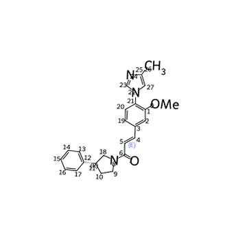 COc1cc(/C=C/C(=O)N2CC[C@H](c3ccccc3)C2)ccc1-n1cnc(C)c1